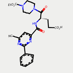 CCOC(=O)N1CCN(C(=O)[C@H](CCC(=O)O)NC(=O)c2cc(C#N)nc(-c3ccccc3)n2)CC1